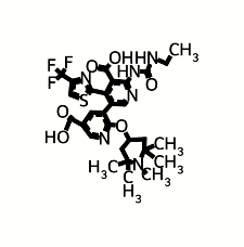 CCNC(=O)Nc1ncc(-c2cc(C(=O)O)cnc2OC2CC(C)(C)N(C)C(C)(C)C2)c(-c2nc(C(F)(F)F)cs2)c1C(=O)O